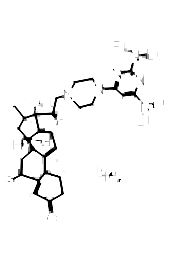 CCN(CC)c1cc(N2CCN(CC(=O)[C@@]3(O)C(C)C[C@H]4[C@@H]5CC(F)C6=CC(=O)CC[C@]6(C)C5=CC[C@@]43C)CC2)nc(N(CC)CC)n1.Cl.Cl